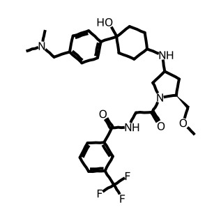 COC[C@@H]1CC(NC2CCC(O)(c3ccc(CN(C)C)cc3)CC2)CN1C(=O)CNC(=O)c1cccc(C(F)(F)F)c1